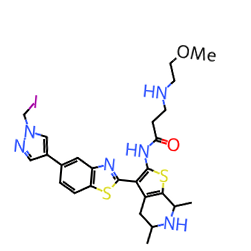 COCCNCCC(=O)Nc1sc2c(c1-c1nc3cc(-c4cnn(CI)c4)ccc3s1)CC(C)NC2C